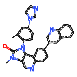 Cc1cc(-n2ccnc2)ccc1-n1c(=O)n(C)c2cnc3ccc(-c4cnc5ccccc5c4)cc3c21